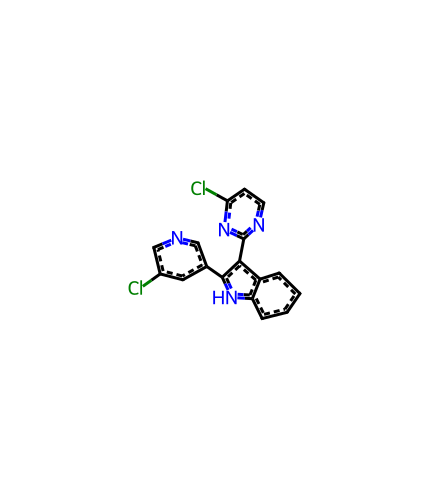 Clc1cncc(-c2[nH]c3ccccc3c2-c2nccc(Cl)n2)c1